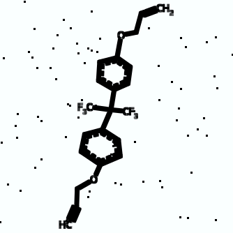 C#CCOc1ccc(C(c2ccc(OCC=C)cc2)(C(F)(F)F)C(F)(F)F)cc1